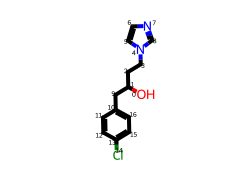 OC(CCn1ccnc1)Cc1ccc(Cl)cc1